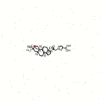 COC[C@]12CC[C@@](C)(O)C[C@@H]1CC[C@H]1[C@@H]3CC[C@H](C(=O)Cn4ncc(C(O)O)n4)[C@@]3(C)CC[C@@H]12